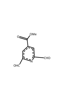 COC(=O)c1cc(C=O)nc(C=O)c1